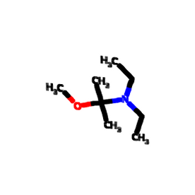 CCN(CC)C(C)(C)OC